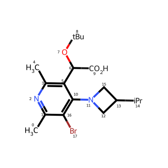 Cc1nc(C)c(C(OC(C)(C)C)C(=O)O)c(N2CC(C(C)C)C2)c1Br